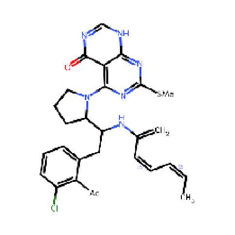 C=C(/C=C\C=C/C)NC(Cc1cccc(Cl)c1C(C)=O)C1CCCN1c1nc(SC)nc2[nH]cnc(=O)c12